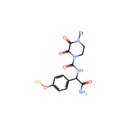 CCN1CCN(C(=O)NC(C(N)=O)c2ccc(OS)cc2)C(=O)C1=O